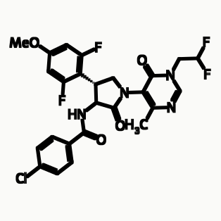 COc1cc(F)c([C@@H]2CN(c3c(C)ncn(CC(F)F)c3=O)C(=O)C2NC(=O)c2ccc(Cl)cc2)c(F)c1